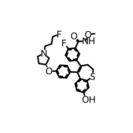 CONC(=O)c1cc(C2=C(c3ccc(O[C@H]4CCN(CCCF)C4)cc3)c3ccc(O)cc3SCC2)ccc1F